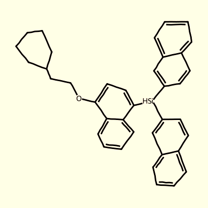 c1ccc2cc([SiH](c3ccc4ccccc4c3)c3ccc(OCCC4CCCCC4)c4ccccc34)ccc2c1